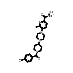 Cc1nc(C(=O)NN)ccc1N1CCN(C2CCN(C(=O)c3ccc(Cl)cc3)CC2)CC1